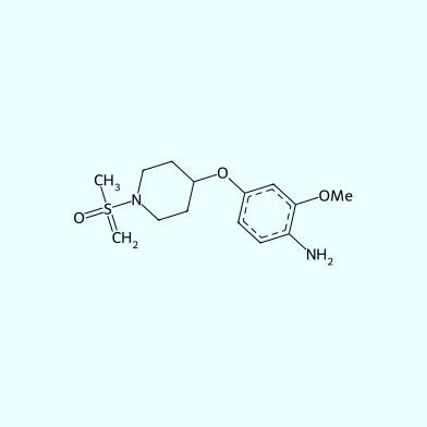 C=S(C)(=O)N1CCC(Oc2ccc(N)c(OC)c2)CC1